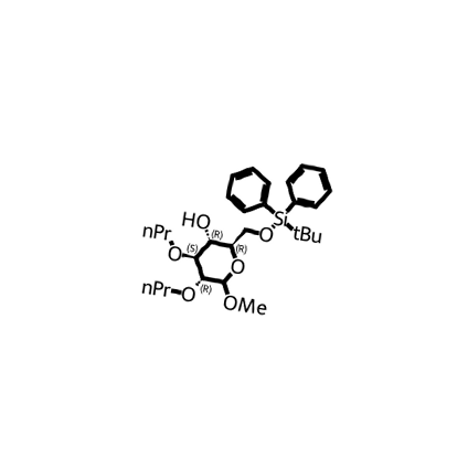 CCCO[C@H]1[C@H](O)[C@@H](CO[Si](c2ccccc2)(c2ccccc2)C(C)(C)C)OC(OC)[C@@H]1OCCC